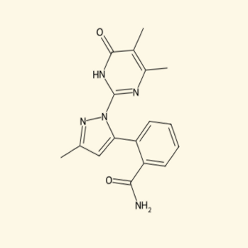 Cc1cc(-c2ccccc2C(N)=O)n(-c2nc(C)c(C)c(=O)[nH]2)n1